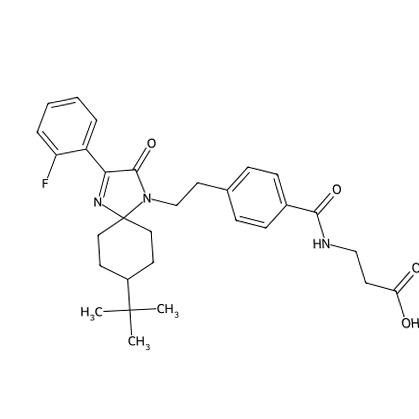 CC(C)(C)C1CCC2(CC1)N=C(c1ccccc1F)C(=O)N2CCc1ccc(C(=O)NCCC(=O)O)cc1